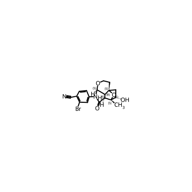 C[C@]12O[C@@]3(CCO[C@H]4[C@@H]3[C@@H]1C(=O)N4c1ccc(C#N)c(Br)c1)C[C@@H]2O